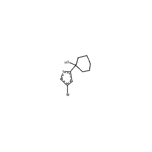 OC1(c2cc(Br)cs2)CCCCC1